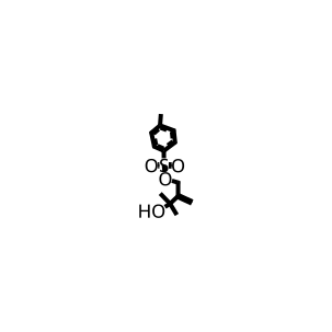 C=C(COS(=O)(=O)c1ccc(C)cc1)C(C)(C)O